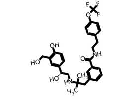 CC(C)(Cc1cccc(C(=O)NCCc2ccc(OC(F)(F)F)cc2)c1)NC[C@H](O)c1ccc(O)c(CO)c1